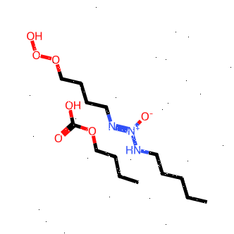 CCCCCN[N+]([O-])=NCCCCOOO.CCCCOC(=O)O